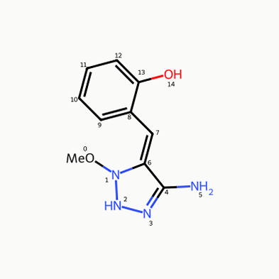 CON1NN=C(N)C1=Cc1ccccc1O